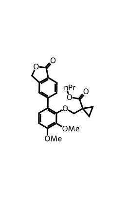 CCCOC(=O)C1(COc2c(-c3ccc4c(c3)COC4=O)ccc(OC)c2OC)CC1